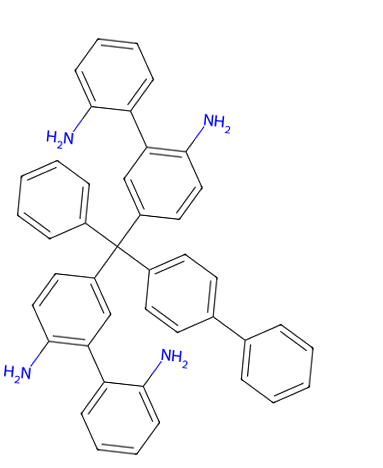 Nc1ccccc1-c1cc(C(c2ccccc2)(c2ccc(-c3ccccc3)cc2)c2ccc(N)c(-c3ccccc3N)c2)ccc1N